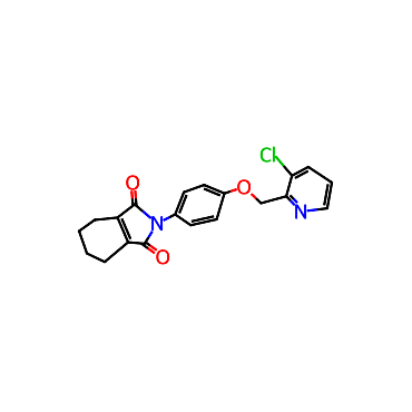 O=C1C2=C(CCCC2)C(=O)N1c1ccc(OCc2ncccc2Cl)cc1